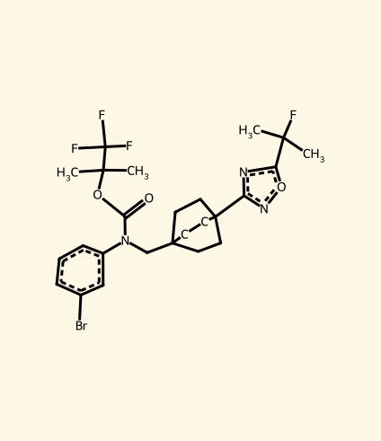 CC(C)(F)c1nc(C23CCC(CN(C(=O)OC(C)(C)C(F)(F)F)c4cccc(Br)c4)(CC2)CC3)no1